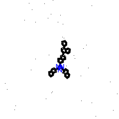 c1ccc(-c2ccc(-c3ccc4cc(-c5nc(-c6ccc7ccccc7c6)nc(-c6ccc7ccccc7c6)n5)ccc4c3)c3ccccc23)cc1